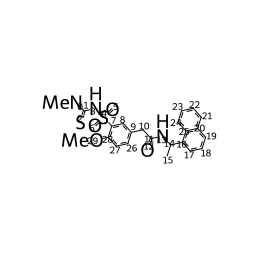 CNC(=S)NS(=O)(=O)c1cc(CC(=O)NC(C)c2cccc3ccccc23)ccc1OC